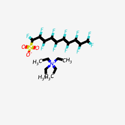 CC[N+](CC)(CC)CC.O=S(=O)([O-])C(F)C(F)C(F)C(F)C(F)C(F)C(F)C(F)C(F)C(F)F